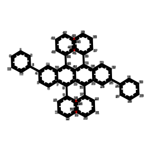 c1ccc(-c2ccc3c(-c4ccccc4)c4c(-c5ccccc5)c5cc(-c6ccccc6)ccc5c(-c5ccccc5)c4c(-c4ccccc4)c3c2)cc1